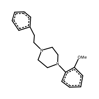 COc1ccccc1N1CCN(CCc2c[c]ccc2)CC1